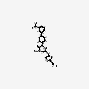 C#Cc1nc(NC(=O)NC(C(=O)NC)c2ccc(-c3cccc(C(=O)CC)c3)cc2)cs1